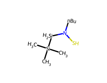 CCCCN(S)[SiH2][Si](C)(C)C